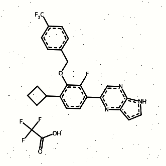 Fc1c(-c2cnc3[nH]ccc3n2)ccc(C2CCC2)c1OCc1ccc(C(F)(F)F)cc1.O=C(O)C(F)(F)F